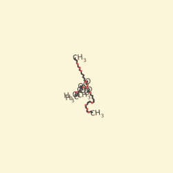 CC/C=C\C/C=C\C/C=C\C/C=C\CCCCC(=O)O[C@H](COC(=O)CCCCCCCCCCCCCC)COP(=O)([O-])OCC[N+](C)(C)C